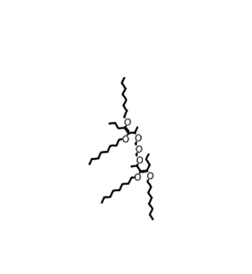 CCCCCCCCOC(CCC)=C(OCCCCCCCC)C(C)OCOCOC(C)C(OCCCCCCCC)=C(CCC)OCCCCCCCC